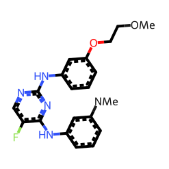 CNc1cccc(Nc2nc(Nc3cccc(OCCOC)c3)ncc2F)c1